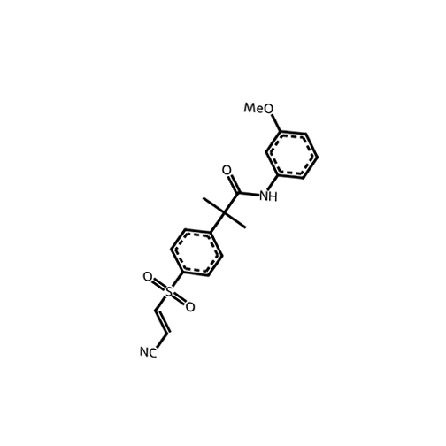 COc1cccc(NC(=O)C(C)(C)c2ccc(S(=O)(=O)C=CC#N)cc2)c1